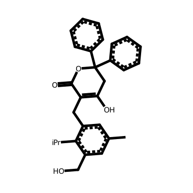 Cc1cc(CO)c(C(C)C)c(CC2=C(O)CC(c3ccccc3)(c3ccccc3)OC2=O)c1